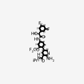 CC(C)NC(=O)c1cc(-c2ccc(NC(=O)[C@@H](O)c3cc(F)cc(F)c3)cc2OC(F)(F)F)cnc1N